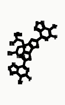 CCCCC(CC)C[Si]1(CC(CC)CCCC)c2cc(-c3nc(F)c(Br)c4nsnc34)sc2-c2sc(-c3nc(F)c(Br)c4nsnc34)cc21